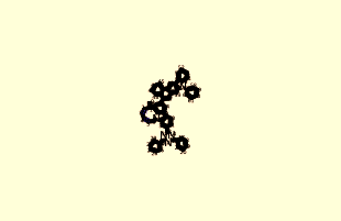 C=C1/C=C\C=C/CN(c2cccc(-c3nc(-c4ccccc4)nc(-c4ccccc4)n3)c2)c2ccc(-c3cc4cc5c(cc4c4ccccc34)c3ccccc3n5-c3ccccc3)cc21